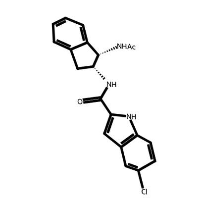 CC(=O)N[C@H]1c2ccccc2C[C@H]1NC(=O)c1cc2cc(Cl)ccc2[nH]1